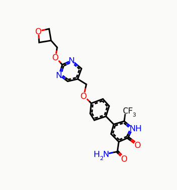 NC(=O)c1cc(-c2ccc(OCc3cnc(OCC4COC4)nc3)cc2)c(C(F)(F)F)[nH]c1=O